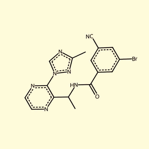 Cc1ncn(-c2nccnc2C(C)NC(=O)c2cc(Br)cc(C#N)c2)n1